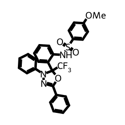 COc1ccc(S(=O)(=O)Nc2ccccc2C2(C(F)(F)F)OC(c3ccccc3)=NN2c2ccccc2)cc1